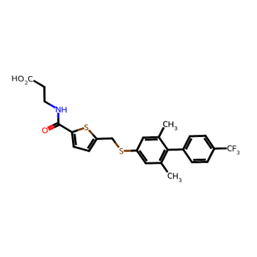 Cc1cc(SCc2ccc(C(=O)NCCC(=O)O)s2)cc(C)c1-c1ccc(C(F)(F)F)cc1